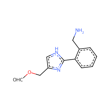 NCc1ccccc1-c1nc(COC=O)c[nH]1